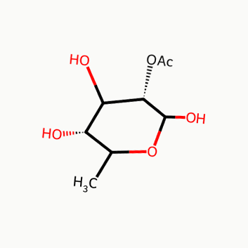 CC(=O)O[C@@H]1C(O)OC(C)[C@H](O)C1O